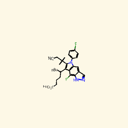 CCCCC(CCCC(=O)O)c1c(C(C)(C)CC#N)n(-c2ccc(F)cc2)c2cc3cn[nH]c3c(F)c12